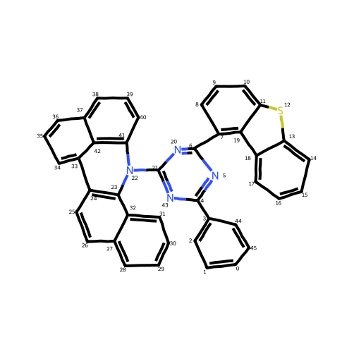 c1ccc(-c2nc(-c3cccc4sc5ccccc5c34)nc(N3c4c(ccc5ccccc45)-c4cccc5cccc3c45)n2)cc1